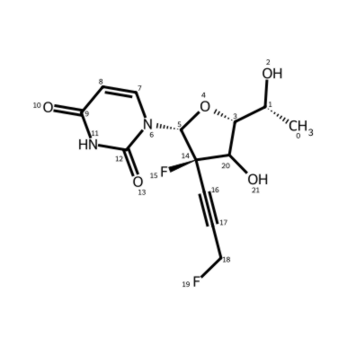 C[C@@H](O)[C@H]1O[C@@H](n2ccc(=O)[nH]c2=O)[C@@](F)(C#CCF)C1O